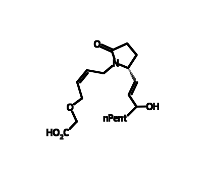 CCCCCC(O)/C=C/[C@H]1CCC(=O)N1C/C=C\COCC(=O)O